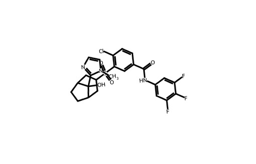 Cn1ccnc1C1(O)C2CCC1CC(S(=O)(=O)c1cc(C(=O)Nc3cc(F)c(F)c(F)c3)ccc1Cl)C2